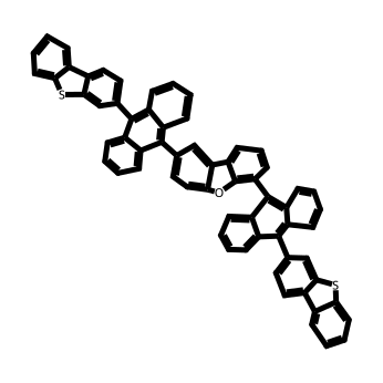 c1ccc2c(c1)sc1cc(-c3c4ccccc4c(-c4ccc5oc6c(-c7c8ccccc8c(-c8ccc9c(c8)sc8ccccc89)c8ccccc78)cccc6c5c4)c4ccccc34)ccc12